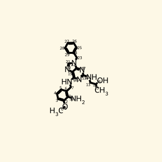 COc1cccc(CNc2nc(NCC(C)O)nc3c2ncn3Cc2ccccc2)c1N